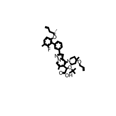 C=CCOC1(C)CCN(c2c(C(OC(C)(C)C)C(=O)O)c(C)cn3nc(-c4cccc(-c5c(O[C@@H](C)CC=C)ccc(C)c5F)c4)cc23)CC1